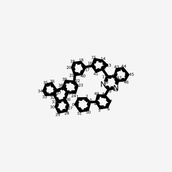 c1ccc(-c2cccc(-c3nc(-c4cccc(-c5cccc(-c6ccc7c8ccccc8c8ccccc8c7c6)c5)c4)c4ccccc4n3)c2)cc1